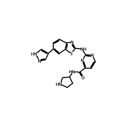 O=C(NC1CCNC1)c1ccnc(Nc2nc3ccc(-c4cn[nH]c4)cc3s2)n1